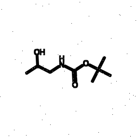 C[C](O)CNC(=O)OC(C)(C)C